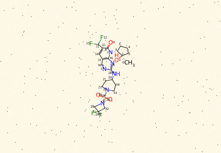 C[C@@]1(O)CCC[C@H]1n1c(=O)c(C(F)F)cc2cnc(NC3CCN(S(=O)(=O)N4CC(F)(F)C4)CC3)nc21